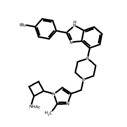 CC(=O)NC1CCC1n1cc(CN2CCN(c3cccc4[nH]c(-c5ccc(C(C)(C)C)cc5)nc34)CC2)nc1C